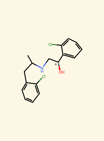 CC(Cc1ccccc1Cl)NC[C@H](O)c1ccccc1Cl